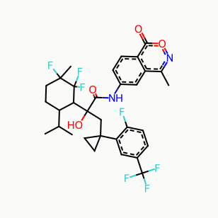 Cc1noc(=O)c2ccc(NC(=O)C(O)(CC3(c4cc(C(F)(F)F)ccc4F)CC3)C3C(C(C)C)CCC(C)(F)C3(F)F)cc12